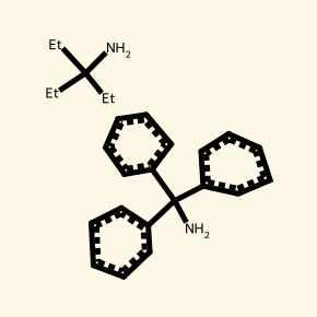 CCC(N)(CC)CC.NC(c1ccccc1)(c1ccccc1)c1ccccc1